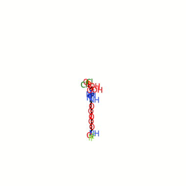 O=C(NCCCOCCOCCOCCOCCOCCCNc1ncnc2c1ncn2[C@@H]1O[C@H](COP(=O)(Cl)Cl)C(O)[C@@H]1O)C(F)(F)F